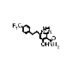 NC(=O)c1c(O)cc(CCc2ccc(C(F)(F)F)cc2)n2ncnc12